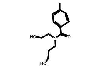 Cc1ccc(C(=O)N(CCO)CCCO)cc1